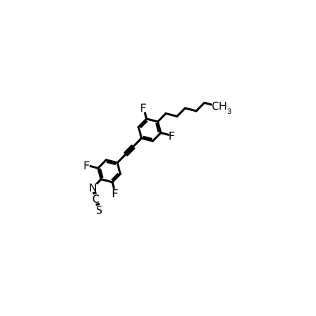 CCCCCCc1c(F)cc(C#Cc2cc(F)c(N=C=S)c(F)c2)cc1F